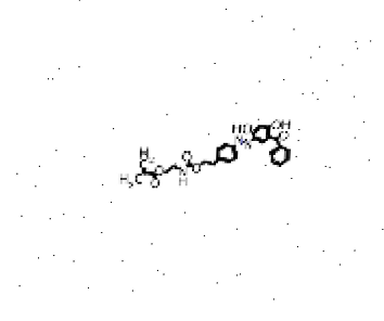 C=C(C)C(=O)OCCNC(=O)OCCc1ccc(/N=N/c2cc(C(=O)c3ccccc3)c(O)cc2O)cc1